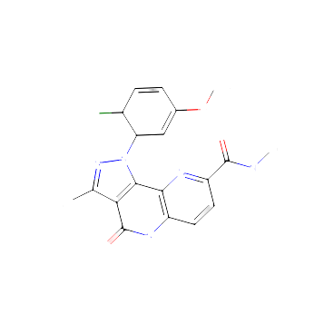 CCCCOC1=CC(n2nc(C)c3c(=O)[nH]c4ccc(C(=O)NCC)nc4c32)C(F)C=C1